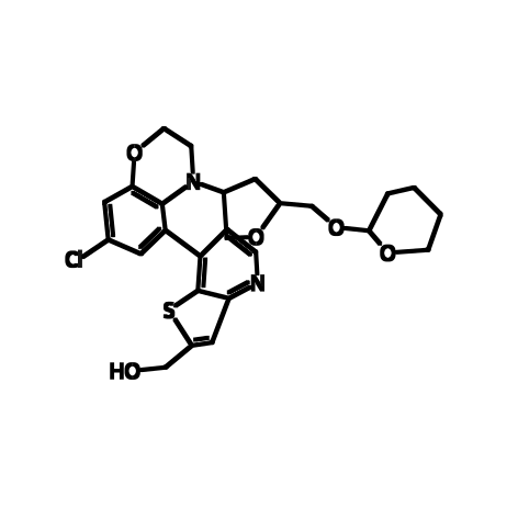 OCc1cc2nccc(-c3cc(Cl)cc4c3N(C3COC(COC5CCCCO5)C3)CCO4)c2s1